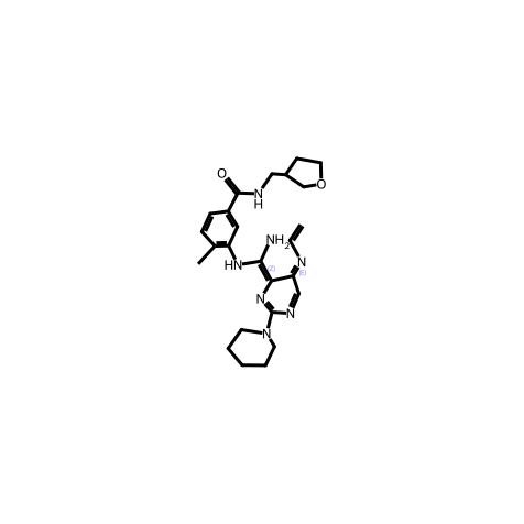 C=C/N=C1/C=NC(N2CCCCC2)=N/C1=C(/N)Nc1cc(C(=O)NCC2CCOC2)ccc1C